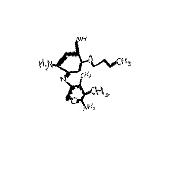 CCCCOC1=CC(=Nc2ccc(N)c(C)c2C)C(N)=CC1=N